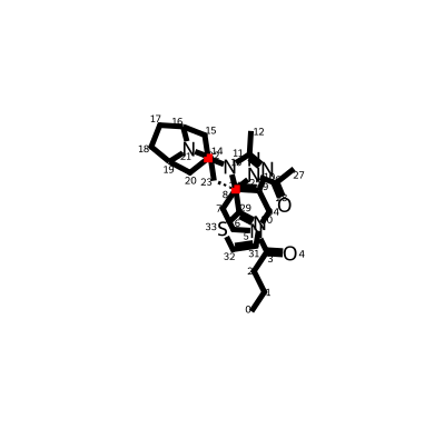 CCCC(=O)N1CCc2c(nc(C)n2C2CC3CCC(C2)N3CC[C@H](NC(C)=O)c2nccs2)C1